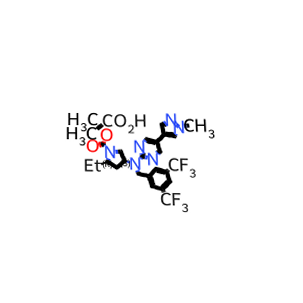 CC[C@@H]1C[C@H](N(Cc2cc(C(F)(F)F)cc(C(F)(F)F)c2)c2ncc(-c3cnn(C)c3)cn2)CN1C(=O)OC(C)(C)C(=O)O